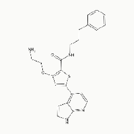 NCCOc1cc(-c2ccnc3[nH]ccc23)sc1C(=O)NCCCc1ccccc1